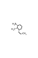 Bc1cccc(/C=C\C)c1C